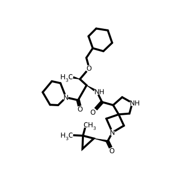 C[C@@H](OCC1CCCCC1)[C@@H](NC(=O)C1CNCC12CN(C(=O)[C@H]1CC1(C)C)C2)C(=O)N1CCCCC1